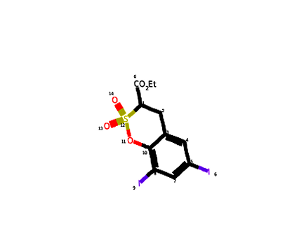 CCOC(=O)C1Cc2cc(I)cc(I)c2OS1(=O)=O